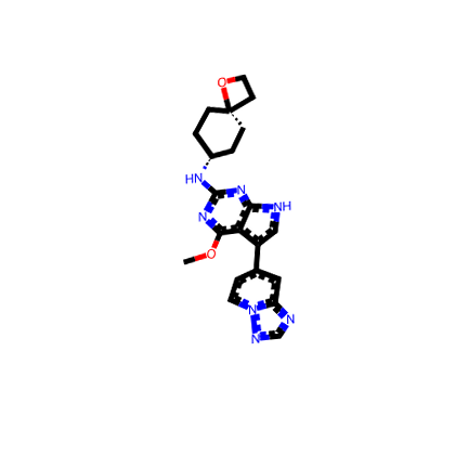 COc1nc(N[C@H]2CC[C@]3(CCO3)CC2)nc2[nH]cc(-c3ccn4ncnc4c3)c12